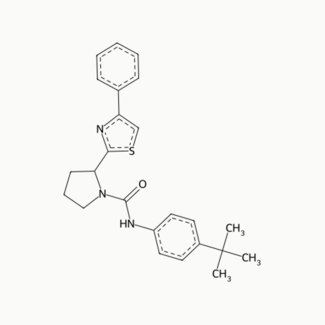 CC(C)(C)c1ccc(NC(=O)N2CCCC2c2nc(-c3ccccc3)cs2)cc1